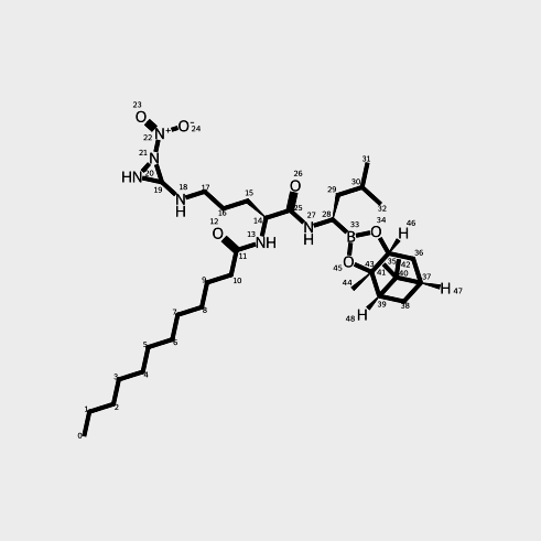 CCCCCCCCCCCC(=O)N[C@@H](CCCNC1NN1[N+](=O)[O-])C(=O)N[C@@H](CC(C)C)B1O[C@@H]2C[C@@H]3C[C@@H](C3(C)C)[C@]2(C)O1